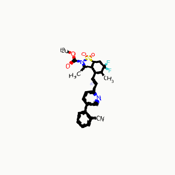 CC1C2C(/C=C/c3ccc(-c4ccccc4C#N)cn3)C(C)C(F)(F)CC2S(=O)(=O)N1C(=O)OC(C)(C)C